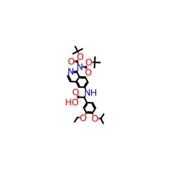 CCOc1cc(C(Nc2ccc3c(N(C(=O)OC(C)(C)C)C(=O)OC(C)(C)C)nccc3c2)C(=O)O)ccc1OC(C)C